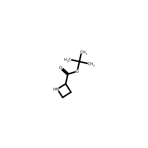 CC(C)(C)OC(=O)C1[CH]CN1